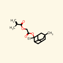 C=C(C)C(=O)OCC(=O)OC1(CC)C2CC3CC1CC(C)(C3)C2